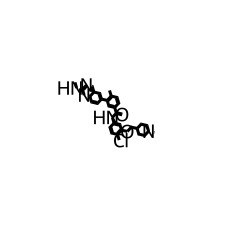 CNc1ncc2cc(-c3cc(C(=O)Nc4ccc(Cl)c(OCC5CCN(C)CC5)c4)ccc3C)ccc2n1